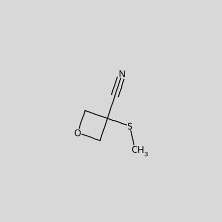 CSC1(C#N)COC1